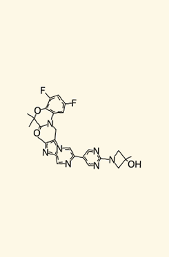 Cc1nc2cnc(-c3cnc(N4CC(C)(O)C4)nc3)cn2c1CN1C(=O)C(C)(C)Oc2c(F)cc(F)cc21